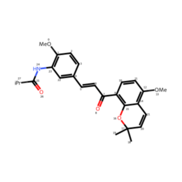 COc1ccc(C=CC(=O)c2ccc(OC)c3c2OC(C)(C)C=C3)cc1NC(=O)C(C)C